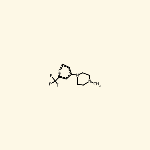 CN1CCN(c2c[c]cc(C(F)(F)F)c2)CC1